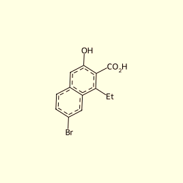 CCc1c(C(=O)O)c(O)cc2ccc(Br)cc12